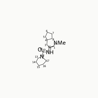 CNC[C@H](CC1CCCC1)NC(=O)N1CCCCC1